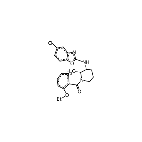 CCOc1ccccc1C(=O)N1CCC[C@@H](Nc2nc3cc(Cl)ccc3o2)[C@H]1C